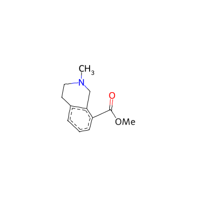 COC(=O)c1cccc2c1CN(C)CC2